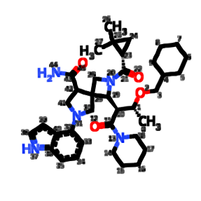 C[C@@H](OCC1CCCCC1)[C@@H](C(=O)N1CCCCC1)C1N(C(=O)[C@H]2CC2(C)C)CC12CN(c1cccc3[nH]ccc13)CC2C(N)=O